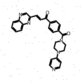 O=C(C=Cc1cnc2ccccc2n1)c1ccc(C(=O)N2CCN(c3ccncc3)CC2)cc1